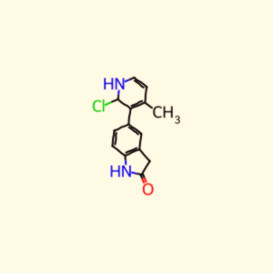 CC1=C(c2ccc3c(c2)CC(=O)N3)C(Cl)NC=C1